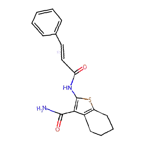 NC(=O)c1c(NC(=O)/C=C/c2ccccc2)sc2c1CCCC2